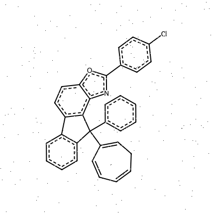 Clc1ccc(-c2nc3c4c(ccc3o2)-c2ccccc2C4(C2=CCC=CC=C2)c2ccccc2)cc1